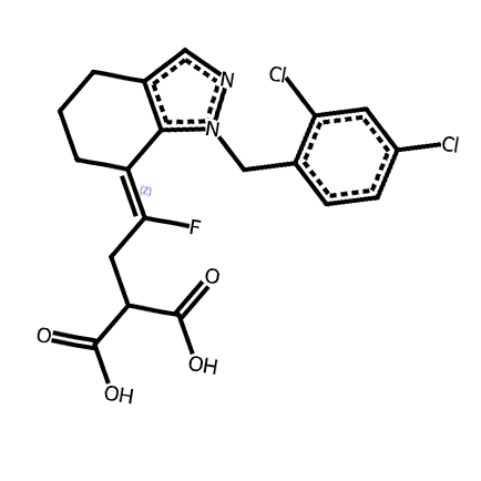 O=C(O)C(C/C(F)=C1\CCCc2cnn(Cc3ccc(Cl)cc3Cl)c21)C(=O)O